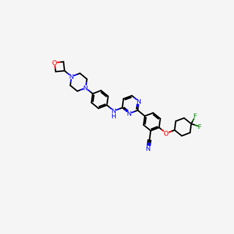 N#Cc1cc(-c2nccc(Nc3ccc(N4CCN(C5COC5)CC4)cc3)n2)ccc1OC1CCC(F)(F)CC1